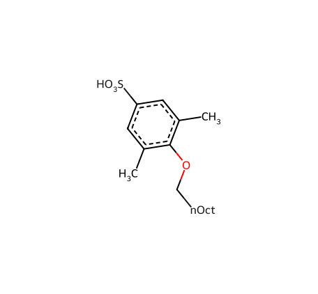 CCCCCCCCCOc1c(C)cc(S(=O)(=O)O)cc1C